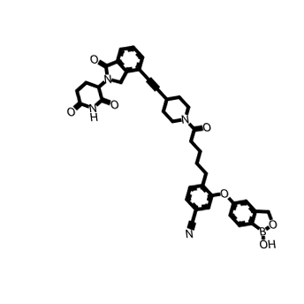 N#Cc1ccc(CCCCC(=O)N2CCC(C#Cc3cccc4c3CN(C3CCC(=O)NC3=O)C4=O)CC2)c(Oc2ccc3c(c2)COB3O)c1